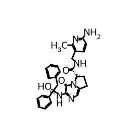 Cc1nc(N)ccc1CNC(=O)[C@@H]1CCc2cnc(N[C@@](O)(Cc3ccccc3)c3ccccc3)c(=O)n21